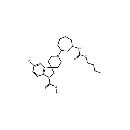 COCCOC(=O)NC1CCCCC(N2CCC3(CC2)CN(C(=O)OC)c2ccc(F)cc23)C1